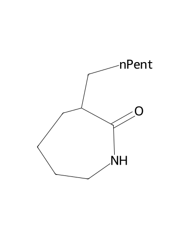 CCCCCCC1CCCCNC1=O